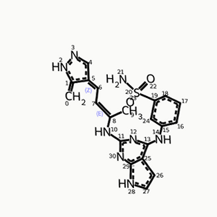 C=c1[nH]nc/c1=C/C=C(\C)Nc1nc(Nc2cccc(S(N)(=O)=O)c2)c2cc[nH]c2n1